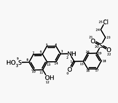 O=C(Nc1ccc2cc(S(=O)(=O)O)[c]c(O)c2c1)c1cccc(S(=O)(=O)CCCl)c1